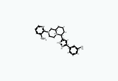 Nc1cccnc1N1CCN2C(CCCC2c2cc(-c3cccc(Cl)c3)no2)C1